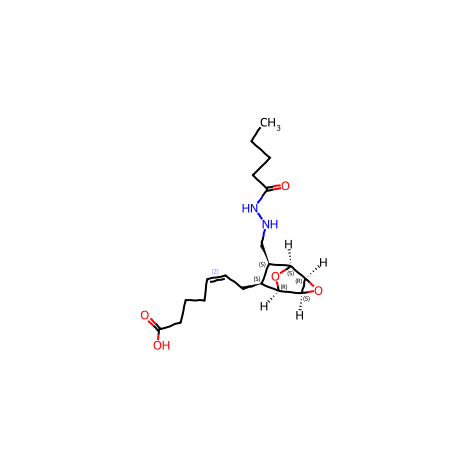 CCCCC(=O)NNC[C@@H]1[C@H](C/C=C\CCCC(=O)O)[C@H]2O[C@@H]1[C@H]1O[C@H]12